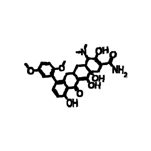 COc1ccc(OC)c(-c2ccc(O)c3c2CC2CC4C(N(C)C)C(O)=C(C(N)=O)CC4(O)C(O)=C2C3=O)c1